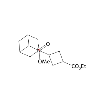 CCOC(=O)C1CC(N2CC3CC(C2)C3C(=O)OC)C1